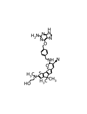 CN(CCO)c1cc2c(s1)-c1sc(/C=C(/C#N)C(=O)NCc3ccc(COc4nc(N)nc5[nH]cnc45)cc3)cc1C2(C)C